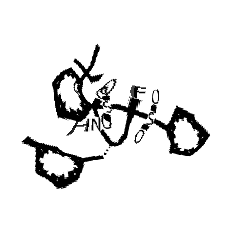 Cc1cccc(C[C@@H](CC(F)(S(=O)(=O)c2ccccc2)S(=O)(=O)c2ccccc2)NC(=O)OC(C)(C)C)c1